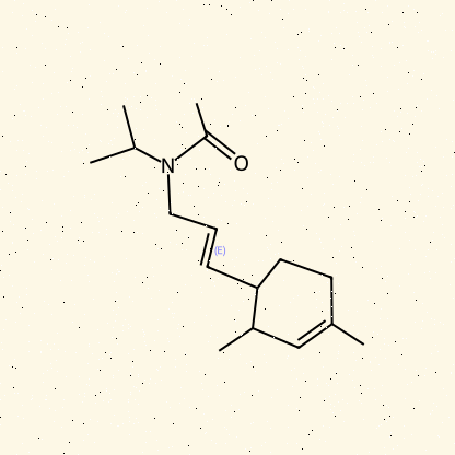 CC(=O)N(C/C=C/C1CCC(C)=CC1C)C(C)C